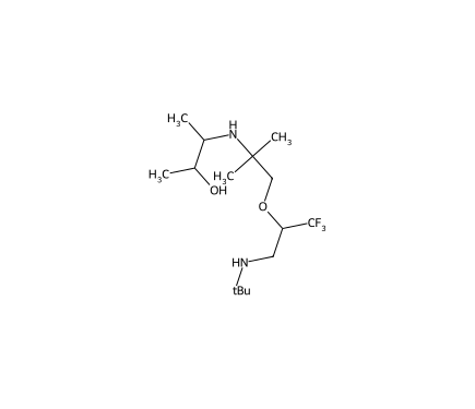 CC(O)C(C)NC(C)(C)COC(CNC(C)(C)C)C(F)(F)F